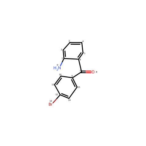 Nc1ccccc1C(=O)c1ccc(Br)cc1